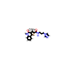 COc1c(C(=O)NCCCn2ccnc2)sc2c1c(=O)n(C)c1ccccc21